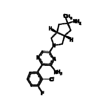 CC1(N)C[C@H]2CN(c3cnc(-c4cccc(F)c4Cl)c(N)n3)C[C@H]2C1